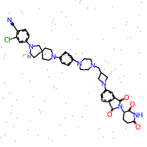 C[C@H]1CC2(CCN(c3ccc(N4CCN(CC5CN(c6ccc7c(c6)C(=O)N(C6CCC(=O)NC6=O)C7=O)C5)CC4)cc3)CC2)CN1c1ccc(C#N)c(Cl)c1